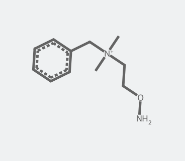 C[N+](C)(CCON)Cc1ccccc1